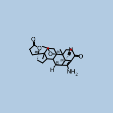 CCO[C@]12CCC3(C)C(CC[C@@]34CCC(=O)O4)C1[C@H]1C[C@]3(C#N)C(=C1N)C(=O)CCC32C